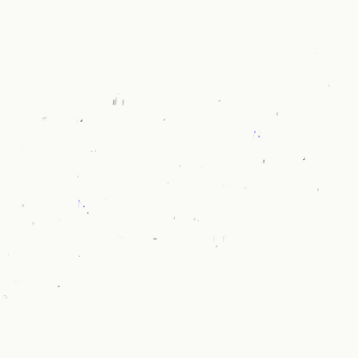 Cc1ccccc1N(c1ccc(C(C)C)cc1)c1ccc2c(C(C)C)cc3c(N(c4ccc(C(C)C)cc4)c4ccccc4C)ccc4c(C(C)C)cc1c2c43